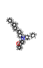 c1ccc(-c2ccc(N(c3ccc4cc(-c5ccc6cc(-c7ccccc7)ccc6c5)ccc4c3)c3ccc4c(c3)oc3ccccc34)cc2)cc1